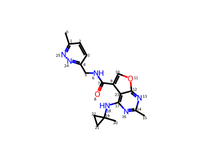 Cc1ccc(CNC(=O)c2coc3nc(C)nc(NC4(C)CC4)c23)nn1